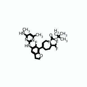 CNc1cc(C)nc(Nc2cc3c(c(C4=CCN(C(=O)OC(C)(C)C)C(C(F)F)CC4)c2F)OCC3)n1